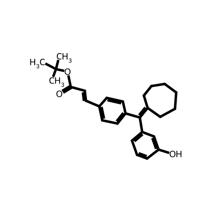 CC(C)(C)OC(=O)C=Cc1ccc(C(=C2CCCCCC2)c2cccc(O)c2)cc1